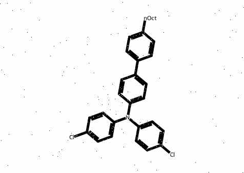 CCCCCCCCc1ccc(-c2ccc(N(c3ccc(Cl)cc3)c3ccc(Cl)cc3)cc2)cc1